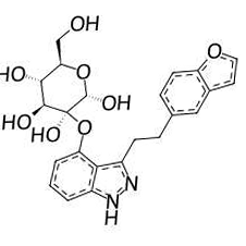 OC[C@H]1O[C@H](O)[C@@](O)(Oc2cccc3[nH]nc(CCc4ccc5occc5c4)c23)[C@@H](O)[C@@H]1O